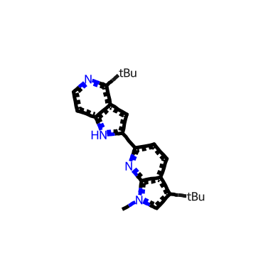 Cn1cc(C(C)(C)C)c2ccc(-c3cc4c(C(C)(C)C)nccc4[nH]3)nc21